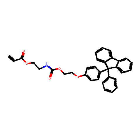 C=CC(=O)OCCNC(=O)OCCOc1ccc(C2(c3ccccc3)c3ccccc3-c3ccccc32)cc1